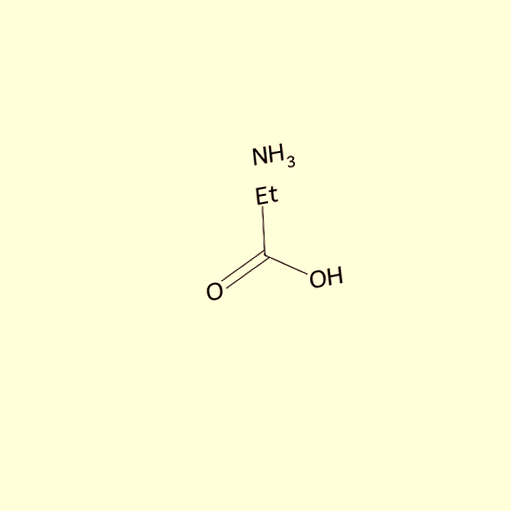 CCC(=O)O.N